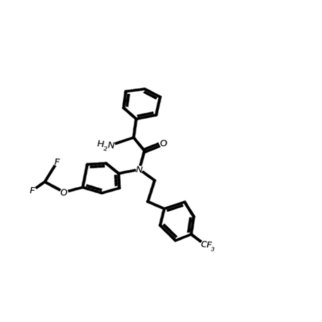 NC(C(=O)N(CCc1ccc(C(F)(F)F)cc1)c1ccc(OC(F)F)cc1)c1ccccc1